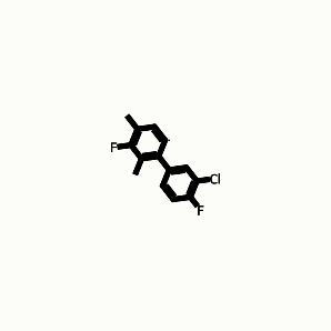 Cc1c[c]c(-c2ccc(F)c(Cl)c2)c(C)c1F